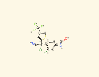 N#CC(Cl)(c1cc(C(F)(F)F)cs1)c1ccc(N=C=O)cc1Cl